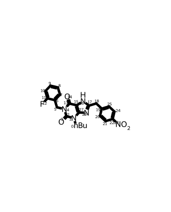 CCCCn1c(=O)n(Cc2ccccc2F)c(=O)c2[nH]c(Cc3ccc([N+](=O)[O-])cc3)nc21